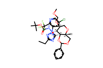 CCc1nc([C@@]23OC(c4ccccc4)OC[C@H]2OC[C@H](OCOC)[C@H]3NNC(=O)OC(C)(C)C)n(-c2cc(Cl)cnc2C(F)(F)F)n1